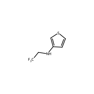 FC(F)(F)CNc1ccsc1